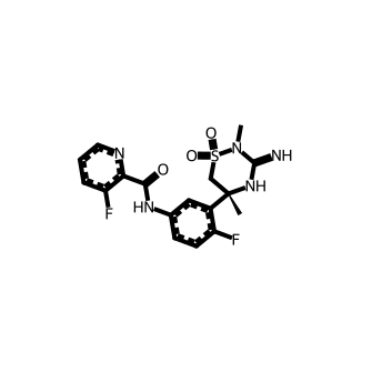 CN1C(=N)N[C@](C)(c2cc(NC(=O)c3ncccc3F)ccc2F)CS1(=O)=O